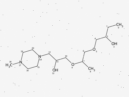 CCC(O)COCC(C)OCC(O)CN1CCN(C)CC1